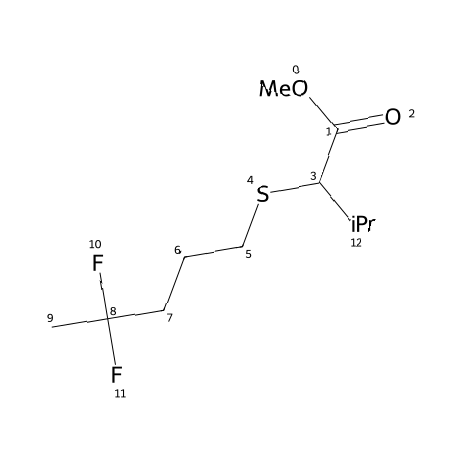 COC(=O)C(SCCCC(C)(F)F)C(C)C